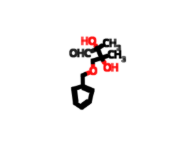 CC(O)(C=O)C(C)(O)COCc1ccccc1